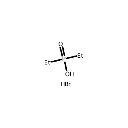 Br.CCP(=O)(O)CC